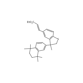 CCOC(=O)C=Cc1ccc2c(c1)C(C)(c1ccc3c(c1)C(C)(C)CCC3(C)C)CS2